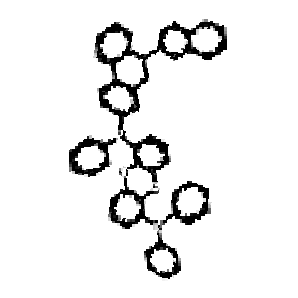 c1ccc(N(c2ccc3c(c2)CC(c2ccc4ccccc4c2)c2ccccc2-3)c2cccc3c2Oc2cccc(N(c4ccccc4)c4ccccc4)c2S3)cc1